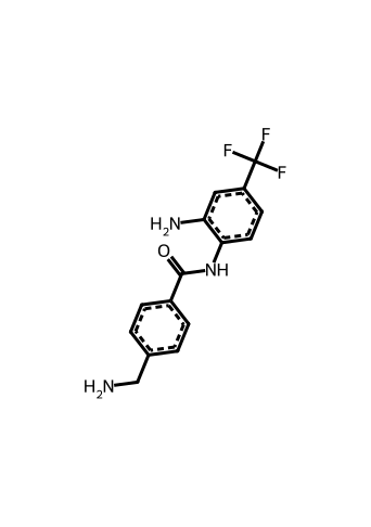 NCc1ccc(C(=O)Nc2ccc(C(F)(F)F)cc2N)cc1